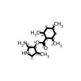 CC1CC(C)C(C(=O)OC2C(C)CNC2N)C(C)C1